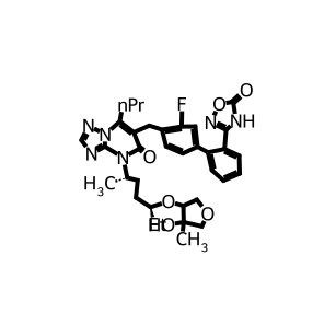 CCCc1c(Cc2ccc(-c3ccccc3-c3noc(=O)[nH]3)cc2F)c(=O)n([C@@H](C)CC[C@H](CC)OC2COCC2(C)O)c2ncnn12